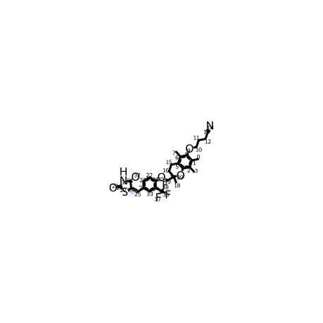 Cc1c(C)c2c(c(C)c1OCCCC#N)CCC(C)(COc1ccc(/C=C3/SC(=O)NC3=O)cc1C(F)(F)F)O2